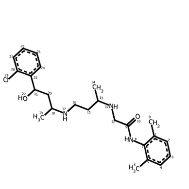 Cc1cccc(C)c1NC(=O)CNC(C)CCNC(C)CC(O)c1ccccc1Cl